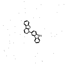 C1=Cc2c(sc3ccccc23)C(c2ccc3[nH]c4ccccc4c3c2)C1